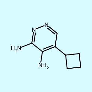 Nc1nncc(C2CCC2)c1N